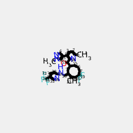 Cc1ccc(-c2cnn(C)c2)c(C(=O)C2CCCC(F)(F)C[C@@H](C)C(CNc3ccc(C(F)(F)F)cn3)C2)n1